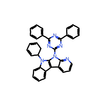 C1=CCC(n2c3ccccc3c3c4cccnc4n(-c4nc(-c5ccccc5)nc(-c5ccccc5)n4)c32)C=C1